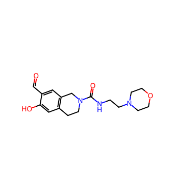 O=Cc1cc2c(cc1O)CCN(C(=O)NCCN1CCOCC1)C2